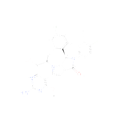 COCC(C)n1c(-c2cnc(N)nc2OC)cc2c1[C@@H](c1ccc(Cl)cc1)N(c1ccc(F)c(Cl)c1)C2=O